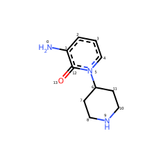 Nc1cccn(C2CCNCC2)c1=O